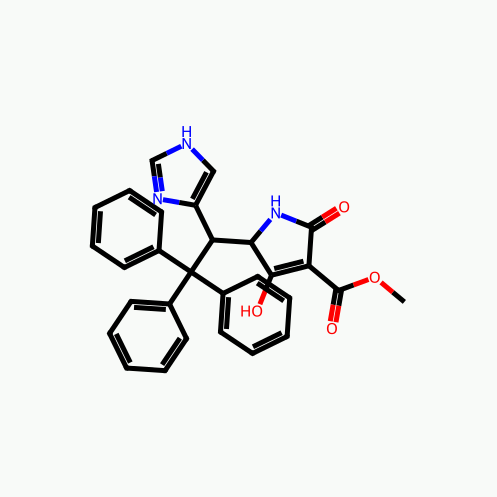 COC(=O)C1=C(O)C(C(c2c[nH]cn2)C(c2ccccc2)(c2ccccc2)c2ccccc2)NC1=O